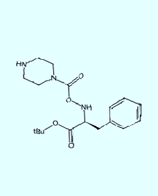 CC(C)(C)OC(=O)[C@H](Cc1ccccc1)NOC(=O)N1CCNCC1